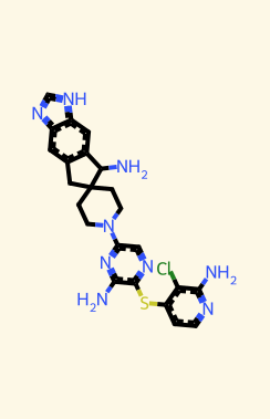 Nc1nc(N2CCC3(CC2)Cc2cc4nc[nH]c4cc2C3N)cnc1Sc1ccnc(N)c1Cl